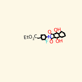 CCOC(=O)Cc1ccc(N2C(=O)c3c(c(O)c4ccccc4c3O)C2=O)c(F)c1